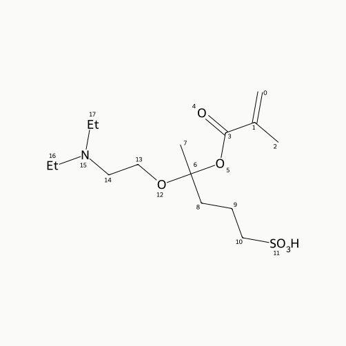 C=C(C)C(=O)OC(C)(CCCS(=O)(=O)O)OCCN(CC)CC